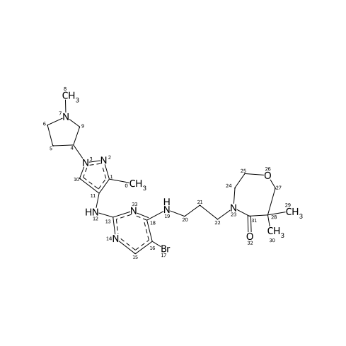 Cc1nn(C2CCN(C)C2)cc1Nc1ncc(Br)c(NCCCN2CCOCC(C)(C)C2=O)n1